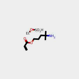 C=CC(=O)OCCCC(C)(C)N.CCOS(=O)(=O)O